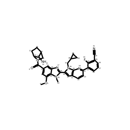 COc1cc(C(=O)N2CC3CCC2C3N)cc2nc(-c3cc4ccc(-c5cccc(C#N)c5F)nc4n3CC3CC3)n(C)c12